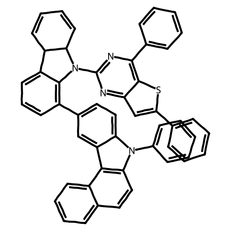 C1=CC2c3cccc(-c4ccc5c(c4)c4c6ccccc6ccc4n5-c4ccccc4)c3N(c3nc(-c4ccccc4)c4sc(-c5ccccc5)cc4n3)C2C=C1